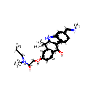 C/N=C/c1ccc2c3c([nH]c2c1)C(C)(C)c1cc(OCC(=O)N(C)CCC#N)ccc1C3=O